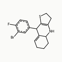 Fc1ccc(C2C3=CCCCC3NC3=C2SCC3)cc1Br